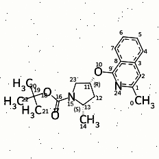 Cc1cc2ccccc2c(O[C@@H]2C[C@H](C)N(C(=O)OC(C)(C)C)C2)n1